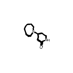 O=C1CC(N2CCCCCC2)CCN1